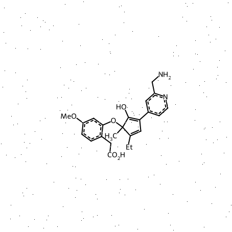 CCC1=CC(c2ccnc(CN)c2)=C(O)C1(C)Oc1cc(OC)ccc1CC(=O)O